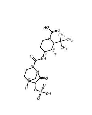 CC(C)(C)C1[C@H](F)[C@@H](NC(=O)[C@@H]2CC[C@@H]3CN2C(=O)N3OS(=O)(=O)O)CCN1C(=O)O